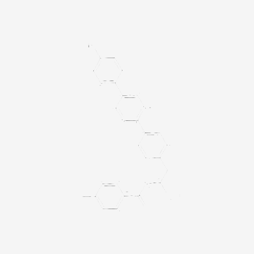 CC(C)c1ccc(-c2cnc(-c3ccc(CC(NC(=O)c4ccc(C(C)(C)C)cc4)C(=O)O)cc3)nc2)cc1